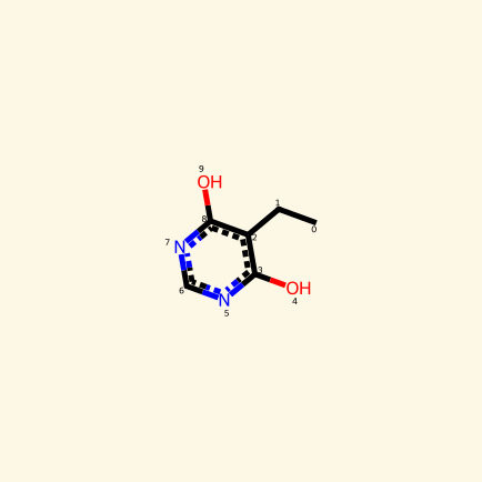 CCc1c(O)ncnc1O